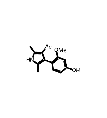 COc1cc(O)ccc1-c1c(C)[nH]c(C)c1C(C)=O